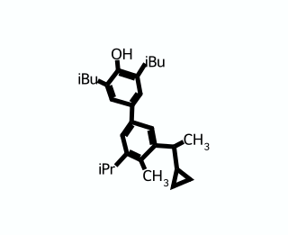 CCC(C)c1cc(-c2cc(C(C)C)c(C)c(C(C)C3CC3)c2)cc(C(C)CC)c1O